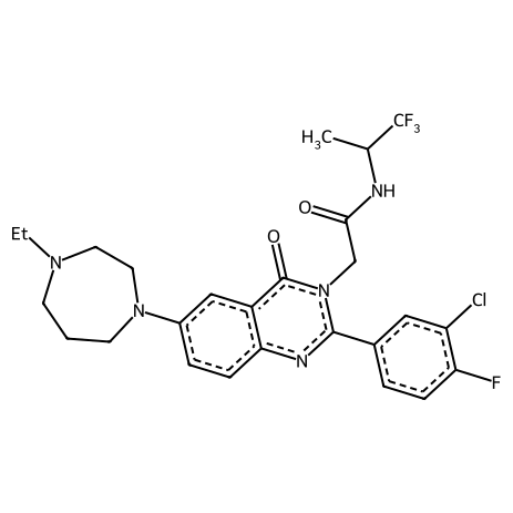 CCN1CCCN(c2ccc3nc(-c4ccc(F)c(Cl)c4)n(CC(=O)NC(C)C(F)(F)F)c(=O)c3c2)CC1